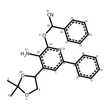 CC1(C)OCC(c2cc(-c3ccccc3)nc(OC(C#N)c3ccccc3)c2N)O1